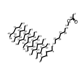 CCCCCC.CCCCCC.CCCCCC.CCCCCC.CCCCCC.CCCCCC.CCCCCC.CCCCCC.CCCCCC.COC(C)=O